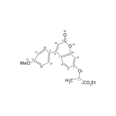 CCOC(=O)C(C)Oc1ccc2c(-c3ccc(OC)cc3)cc(=O)oc2c1